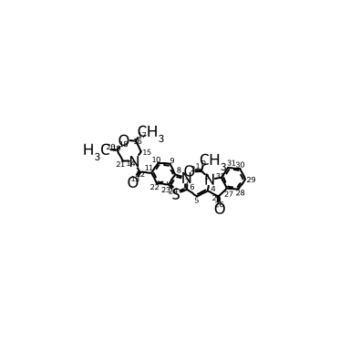 CC(=O)N1/C(=C\c2nc3ccc(C(=O)N4CC(C)OC(C)C4)cc3s2)C(=O)c2ccccc21